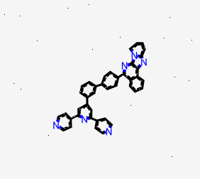 c1cc(-c2ccc(-c3nc4c(nc5ccccn54)c4ccccc34)cc2)cc(-c2cc(-c3ccncc3)nc(-c3ccncc3)c2)c1